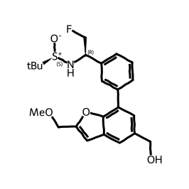 COCc1cc2cc(CO)cc(-c3cccc([C@H](CF)N[S@+]([O-])C(C)(C)C)c3)c2o1